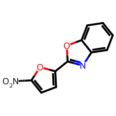 O=[N+]([O-])c1ccc(-c2nc3ccccc3o2)o1